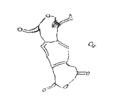 O=c1oc(=O)c2cc3c(=O)oc(=O)c3cc12.[Cu]